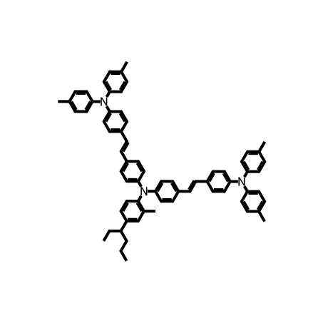 CCCC(CC)c1ccc(N(c2ccc(/C=C/c3ccc(N(c4ccc(C)cc4)c4ccc(C)cc4)cc3)cc2)c2ccc(/C=C/c3ccc(N(c4ccc(C)cc4)c4ccc(C)cc4)cc3)cc2)c(C)c1